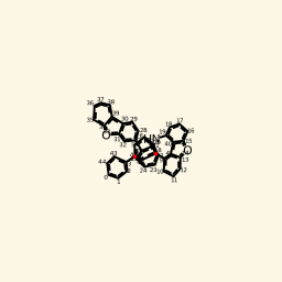 c1ccc(-c2cccc(-c3cccc4oc5cccc(Nc6ccccc6-c6ccc7c(c6)oc6ccccc67)c5c34)c2)cc1